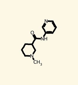 CN1CCCC(C(=O)Nc2cccnc2)C1